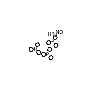 O=[N][RuH].c1ccc(P(c2ccccc2)c2ccccc2)cc1.c1ccc(P(c2ccccc2)c2ccccc2)cc1.c1ccc(P(c2ccccc2)c2ccccc2)cc1